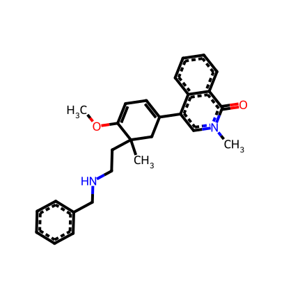 COC1=CC=C(c2cn(C)c(=O)c3ccccc23)CC1(C)CCNCc1ccccc1